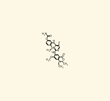 CCN(CC)c1cc(OC)c(Nc2ncc(F)c(Nc3cc(OC(N)=O)ccc3OC)n2)cc1[N+](=O)[O-]